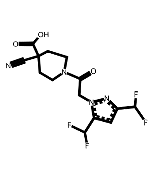 N#CC1(C(=O)O)CCN(C(=O)Cn2nc(C(F)F)cc2C(F)F)CC1